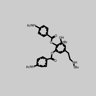 Br.CC(=O)Nc1ccc(C(=O)Oc2cc(CCNC(C)(C)C)cc(O)c2OC(=O)c2ccc(NC(C)=O)cc2)cc1